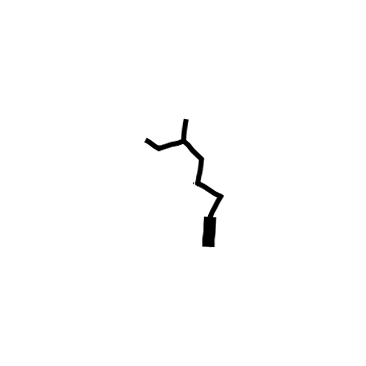 C#CC[CH]CC(C)CC